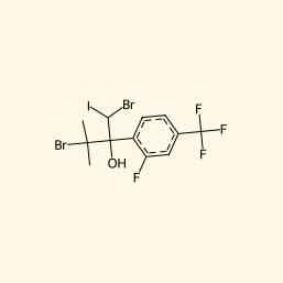 CC(C)(Br)C(O)(c1ccc(C(F)(F)F)cc1F)C(Br)I